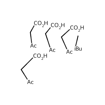 CC(=O)CC(=O)O.CC(=O)CC(=O)O.CC(=O)CC(=O)O.CC(=O)CC(=O)O.CCC(C)C